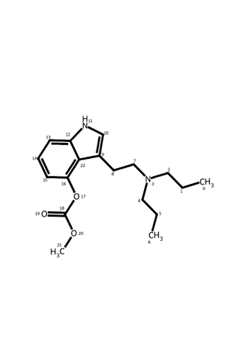 CCCN(CCC)CCc1c[nH]c2cccc(OC(=O)OC)c12